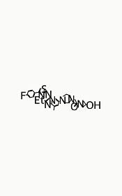 CCc1nc2c(C)cc(N3CCCN(CC(=O)N4CC(O)C4)CC3)cn2c1N(C)c1nc(-c2ccc(F)cc2)cs1